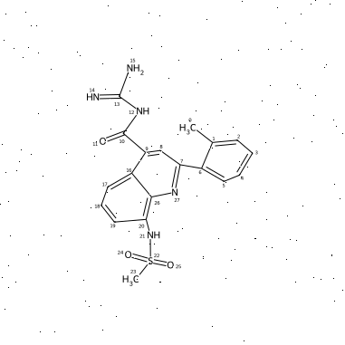 Cc1ccccc1-c1cc(C(=O)NC(=N)N)c2cccc(NS(C)(=O)=O)c2n1